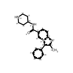 Cc1nc2ccc(C(=O)NC3CCNCC3)cn2c1-c1ccccc1